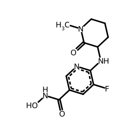 CN1CCCC(Nc2ncc(C(=O)NO)cc2F)C1=O